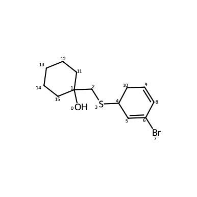 OC1(CSC2C=C(Br)C=CC2)CCCCC1